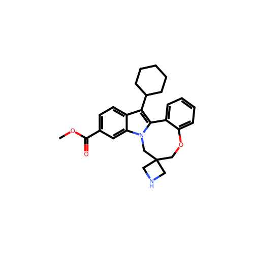 COC(=O)c1ccc2c(C3CCCCC3)c3n(c2c1)CC1(CNC1)COc1ccccc1-3